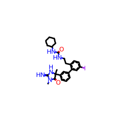 CN1C(=N)NC(C)(c2cccc(-c3cc(I)ccc3CCNC(=O)NC3CCCCC3)c2)C1=O